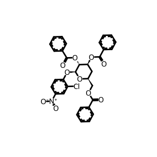 O=C(OC[C@@H]1C[C@H](OC(=O)c2ccccc2)[C@@H](OC(=O)c2ccccc2)[C@H](Oc2ccc([N+](=O)[O-])cc2Cl)O1)c1ccccc1